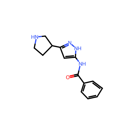 O=C(Nc1cc(C2CCNC2)n[nH]1)c1ccccc1